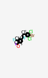 CC(C)(F)c1cc(/C(F)=C/C(c2cc(Cl)c(Br)c(Cl)c2)C(F)(F)F)ccc1C(=O)I